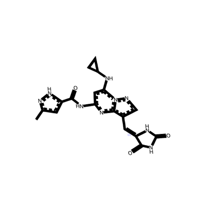 Cc1cc(C(=O)Nc2cc(NC3CC3)n3ncc(/C=C4\NC(=O)NC4=O)c3n2)[nH]n1